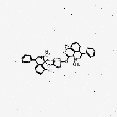 CN1CC(c2ccccc2)c2cccc(N)c2C1C(=O)OC(=O)/C=C\C(=O)OC1(C(=O)O)c2c(N)cccc2C(c2ccccc2)CN1C